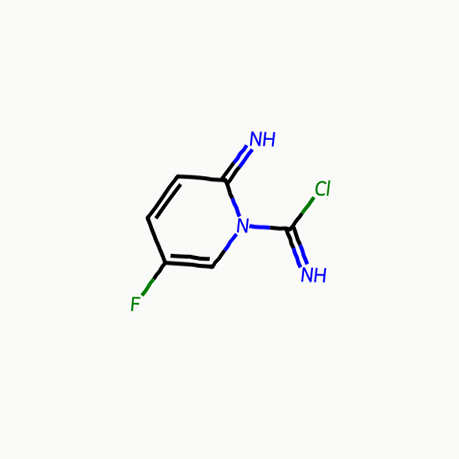 N=C(Cl)n1cc(F)ccc1=N